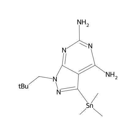 CC(C)(C)Cn1n[c]([Sn]([CH3])([CH3])[CH3])c2c(N)nc(N)nc21